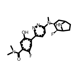 CN(C)C(=O)c1cc(O)c(-c2ccc(N(C)[C@H]3CC4CCC(N4)[C@H]3F)nn2)cc1F